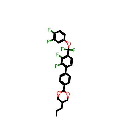 CCCC1COC(c2ccc(-c3ccc(C(F)(F)Oc4ccc(F)c(F)c4)c(F)c3F)cc2)OC1